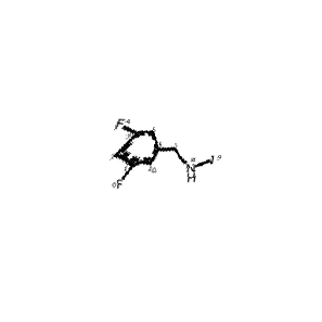 Fc1cc(F)cc(CNI)c1